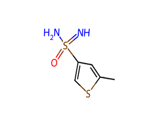 Cc1cc(S(=N)(N)=O)cs1